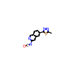 Cc1nnc(-c2ccc3cnc(N=C=O)cc3c2)s1